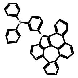 c1ccc(N(c2ccccc2)c2cccc(-n3c4cccc5c4c4c6c(cccc6c6ccccc6c43)-c3ccccc3-5)c2)cc1